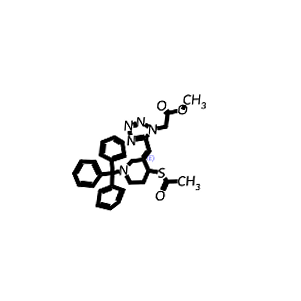 COC(=O)Cn1nnnc1/C=C1\CN(C(c2ccccc2)(c2ccccc2)c2ccccc2)CCC1SC(C)=O